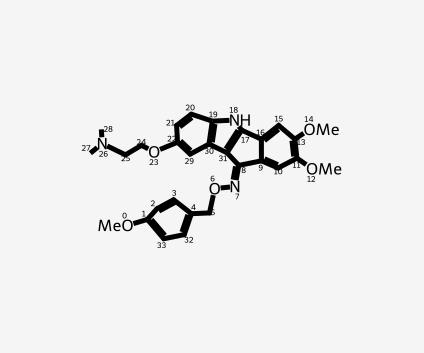 COc1ccc(CON=C2c3cc(OC)c(OC)cc3-c3[nH]c4ccc(OCCN(C)C)cc4c32)cc1